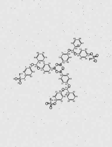 O=S(=O)(F)Cc1ccc(OC(Oc2ccc(B3OB(c4ccc(OC(Oc5ccc(OS(=O)(=O)F)cc5)c5ccccc5)cc4)OB(c4ccc(OC(Oc5ccc(OS(=O)(=O)F)cc5)c5ccccc5)cc4)O3)cc2)c2ccccc2)cc1